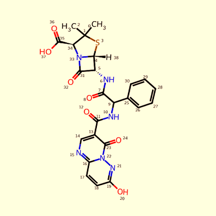 CC1(C)S[C@@H]2[C@H](NC(=O)C(NC(=O)c3cnc4ccc(O)nn4c3=O)c3ccccc3)C(=O)N2[C@H]1C(=O)O